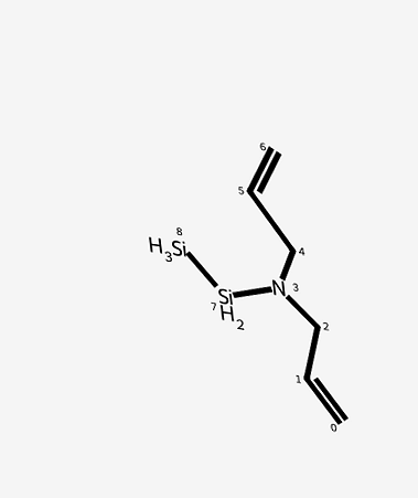 C=CCN(CC=C)[SiH2][SiH3]